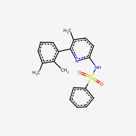 Cc1ccc(NS(=O)(=O)c2ccccc2)nc1-c1cccc(C)c1C